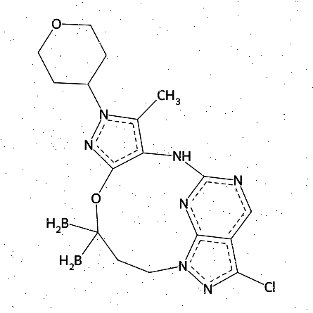 BC1(B)CCn2nc(Cl)c3cnc(nc32)Nc2c(nn(C3CCOCC3)c2C)O1